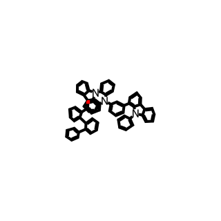 c1ccc(-c2ccccc2-c2ccccc2-c2ccc(N(c3cccc(-c4cccc5c6ccccc6n(-c6ccccc6)c45)c3)c3ccccc3-n3c4ccccc4c4ccccc43)cc2)cc1